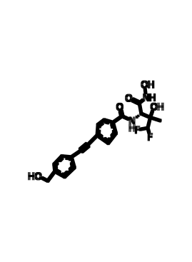 CC(O)(C(F)F)[C@H](NC(=O)c1ccc(C#Cc2ccc(CO)cc2)cc1)C(=O)NO